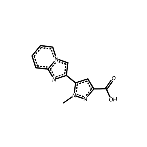 Cn1nc(C(=O)O)cc1-c1cn2ccccc2n1